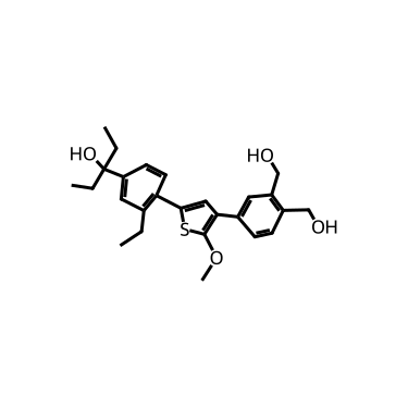 CCc1cc(C(O)(CC)CC)ccc1-c1cc(-c2ccc(CO)c(CO)c2)c(OC)s1